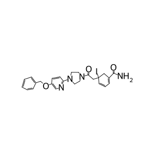 NC(=O)C1=CC=CC(I)(CC(=O)N2CCN(c3ccc(OCc4ccccc4)cn3)CC2)C1